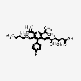 CCCCOCc1c(C(C)C)nc(C(C)C)c(/C=C/C(O)CC(O)CC(=O)O)c1-c1ccc(F)cc1